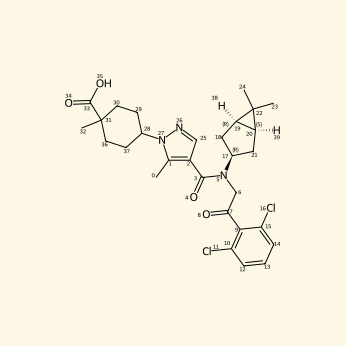 Cc1c(C(=O)N(CC(=O)c2c(Cl)cccc2Cl)[C@H]2C[C@@H]3[C@H](C2)C3(C)C)cnn1C1CCC(C)(C(=O)O)CC1